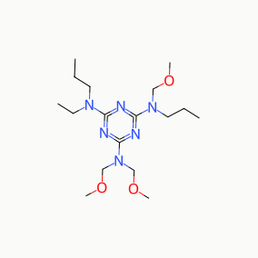 CCCN(CC)c1nc(N(CCC)COC)nc(N(COC)COC)n1